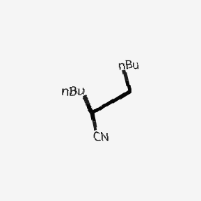 CCCCCC(C#N)CCCC